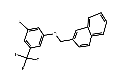 FC(F)(F)c1cc(I)cc(OCc2ccc3ccccc3c2)c1